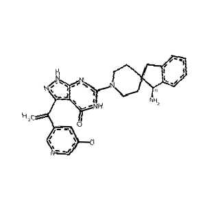 C=C(c1cncc(Cl)c1)c1n[nH]c2nc(N3CCC4(CC3)Cc3ccccc3[C@H]4N)[nH]c(=O)c12